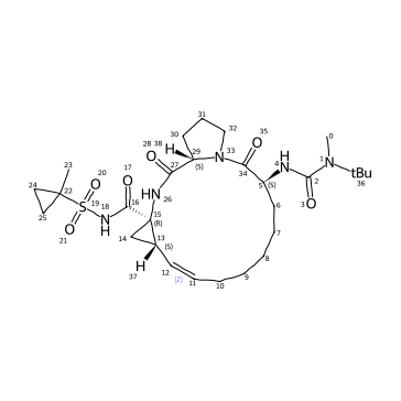 CN(C(=O)N[C@H]1CCCCC/C=C\[C@@H]2C[C@@]2(C(=O)NS(=O)(=O)C2(C)CC2)NC(=O)[C@@H]2CCCN2C1=O)C(C)(C)C